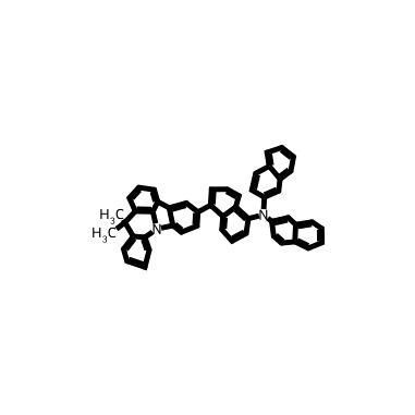 CC1(C)c2ccccc2-n2c3ccc(-c4cccc5c(N(c6ccc7ccccc7c6)c6ccc7ccccc7c6)cccc45)cc3c3cccc1c32